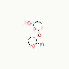 CCC1OCCCC1OC1CCCC(O)O1